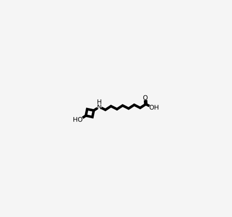 O=C(O)CCCCCCCNC1CC(O)C1